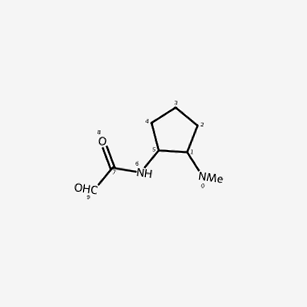 CNC1CCCC1NC(=O)C=O